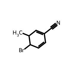 CC1C=C(C#N)C=CC1Br